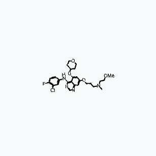 COCCN(C)CCCOc1cc(OC2CCOCC2)c2c(Nc3ccc(F)c(Cl)c3)ncnc2c1